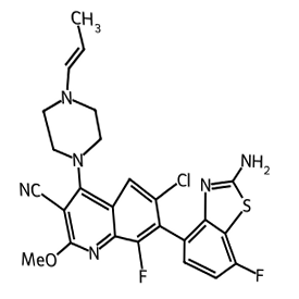 CC=CN1CCN(c2c(C#N)c(OC)nc3c(F)c(-c4ccc(F)c5sc(N)nc45)c(Cl)cc23)CC1